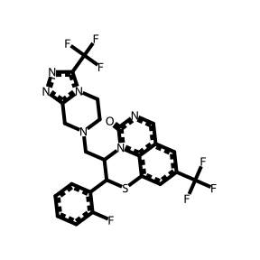 O=c1ncc2cc(C(F)(F)F)cc3c2n1C(CN1CCn2c(nnc2C(F)(F)F)C1)C(c1ccccc1F)S3